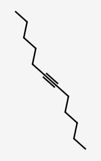 CCCCCC#CCCCCC